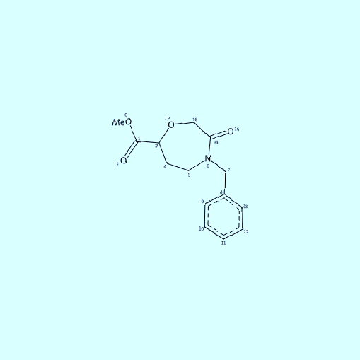 COC(=O)C1CCN(Cc2ccccc2)C(=O)CO1